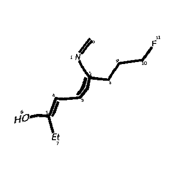 C=N/C(=C\C=C(\O)CC)CCCF